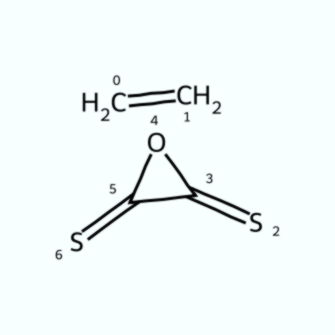 C=C.S=c1oc1=S